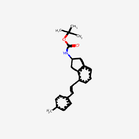 Cc1ccc(/C=C/c2cccc3c2CC(NC(=O)OC(C)(C)C)C3)cc1